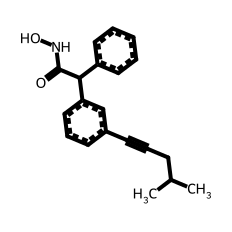 CC(C)CC#Cc1cccc(C(C(=O)NO)c2ccccc2)c1